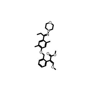 CC/C(=N\N1CCOCC1)c1cc(C)c(OCc2ccccc2/C(=C\OC)C(=O)OC)cc1C